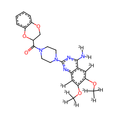 [2H]c1c(OC([2H])([2H])[2H])c(OC([2H])([2H])[2H])c([2H])c2c(N([2H])[2H])nc(N3CCN(C(=O)C4COc5ccccc5O4)CC3)nc12